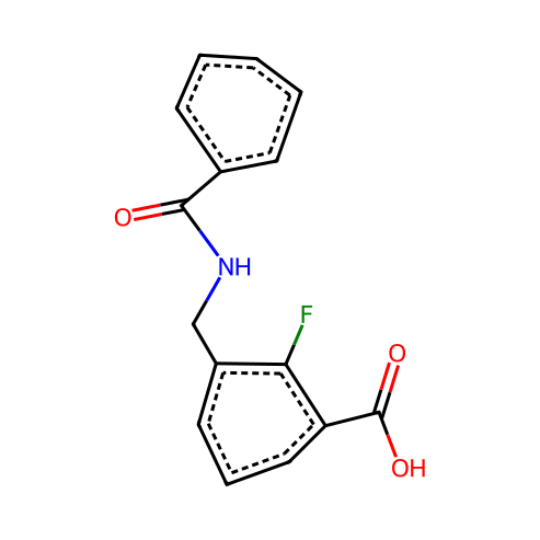 O=C(NCc1cccc(C(=O)O)c1F)c1ccccc1